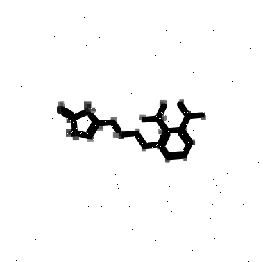 CC(C)c1cccc(CCSCc2c[nH]c(=O)[nH]2)c1C(C)C